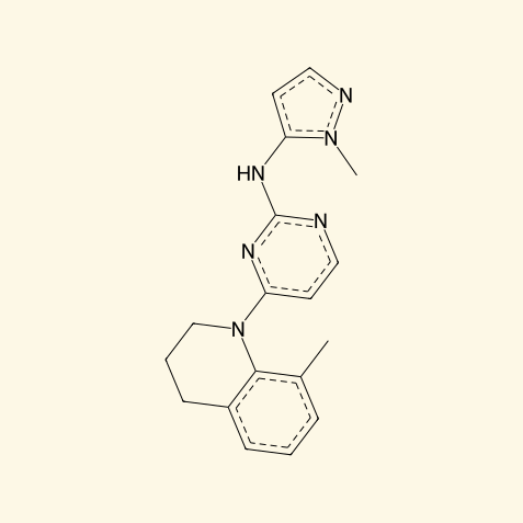 Cc1cccc2c1N(c1ccnc(Nc3ccnn3C)n1)CCC2